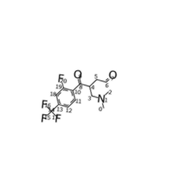 CN(C)CC(CC=O)C(=O)c1ccc(C(F)(F)F)cc1F